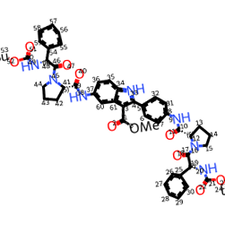 COC(=O)c1c(-c2ccc(NC(=O)[C@@H]3CCCN3C(=O)[C@H](NC(=O)OC(C)(C)C)c3ccccc3)cc2)[nH]c2ccc(NC(=O)[C@@H]3CCCN3C(=O)[C@H](NC(=O)OC(C)(C)C)c3ccccc3)cc12